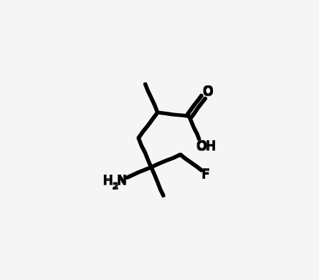 CC(CC(C)(N)CF)C(=O)O